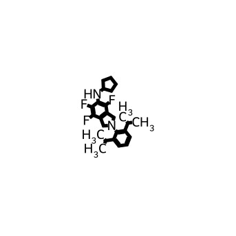 CC(C)c1cccc(C(C)C)c1N1Cc2c(F)c(F)c(NC3CCCC3)c(F)c2C1